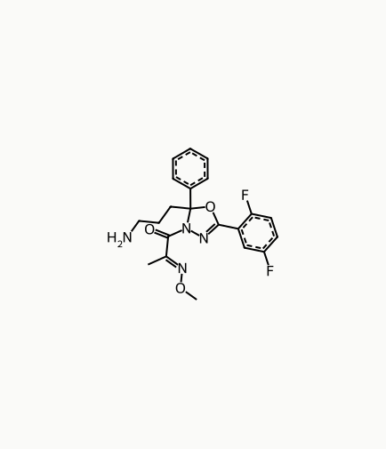 CON=C(C)C(=O)N1N=C(c2cc(F)ccc2F)OC1(CCCN)c1ccccc1